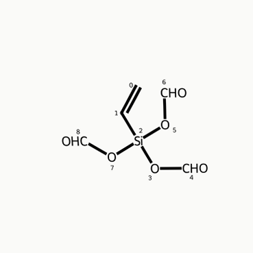 C=C[Si](OC=O)(OC=O)OC=O